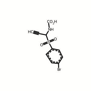 C#CC(NC(=O)O)S(=O)(=O)c1ccc(Br)cc1